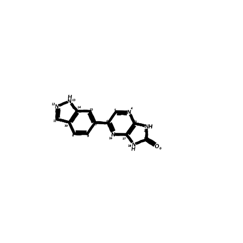 O=c1[nH]c2ncc(-c3ccc4cn[nH]c4c3)nc2[nH]1